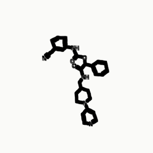 N#Cc1cccc(NC(=O)OC(C(=O)NCC2CCN(c3ccncc3)CC2)c2ccccc2)c1